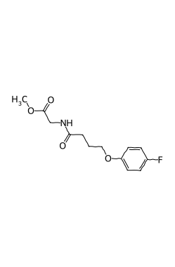 COC(=O)CNC(=O)CCCOc1ccc(F)cc1